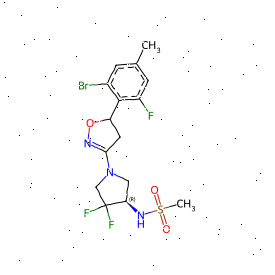 Cc1cc(F)c(C2CC(N3C[C@@H](NS(C)(=O)=O)C(F)(F)C3)=NO2)c(Br)c1